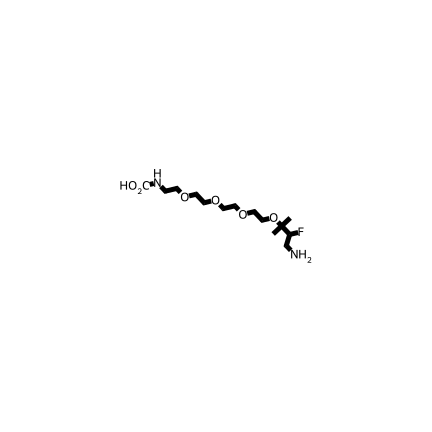 CC(C)(OCCOCCOCCOCCNC(=O)O)C(F)CN